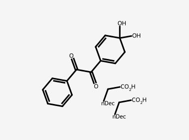 CCCCCCCCCCCC(=O)O.CCCCCCCCCCCC(=O)O.O=C(C(=O)c1ccccc1)C1=CCC(O)(O)C=C1